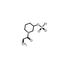 C=CC(=O)N1CCCC(OS(=O)(=O)CC)C1